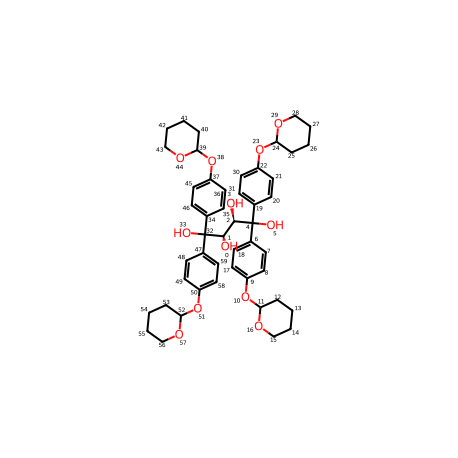 O[C@H]([C@@H](O)C(O)(c1ccc(OC2CCCCO2)cc1)c1ccc(OC2CCCCO2)cc1)C(O)(c1ccc(OC2CCCCO2)cc1)c1ccc(OC2CCCCO2)cc1